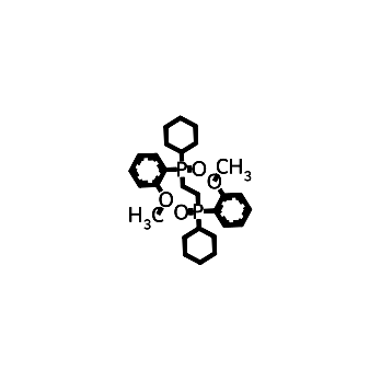 COc1ccccc1P(=O)(CCP(=O)(c1ccccc1OC)C1CCCCC1)C1CCCCC1